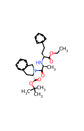 CCOC(=O)[C@H](CCc1ccccc1)N[C@@H](C)C(=O)N1Cc2ccccc2C[C@H]1C(=O)OC(C)(C)C